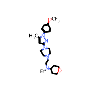 CCN(CCN1CCN(c2cc(C)n(-c3ccc(OC(F)(F)F)cc3)n2)CC1)C1CCOCC1